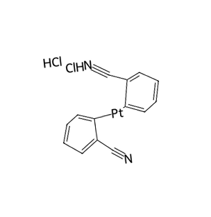 Cl.Cl.N#Cc1cccc[c]1[Pt][c]1ccccc1C#N